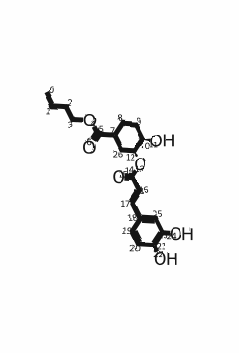 CCCCOC(=O)C1CC[C@@H](O)[C@H](OC(=O)/C=C/c2ccc(O)c(O)c2)C1